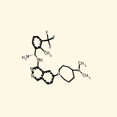 Cc1c([C@@H](N)Nc2nncc3ccc(N4CCCC(N(C)C)CCC4)cc23)cccc1C(F)(F)F